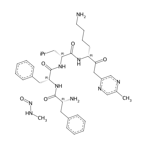 CNN=O.Cc1cnc(CC(=O)[C@@H](CCCCN)NC(=O)[C@@H](CC(C)C)NC(=O)[C@@H](Cc2ccccc2)NC(=O)[C@H](N)Cc2ccccc2)cn1